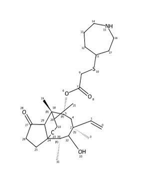 C=C[C@]1(C)C[C@@H](OC(=O)CSC2CCCNCC2)[C@]2(C)C(C)CCC3(CCC(=O)C32)[C@@H](C)C1O